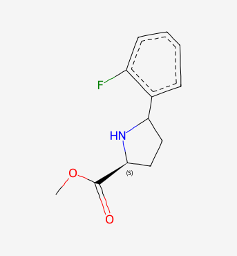 COC(=O)[C@@H]1CCC(c2ccccc2F)N1